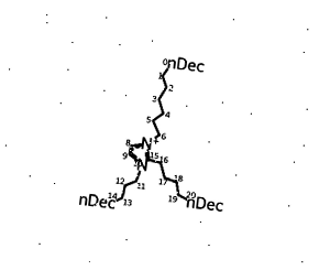 CCCCCCCCCCCCCCCC[n+]1ccn(CCCCCCCCCCCCC)c1CCCCCCCCCCCCCC